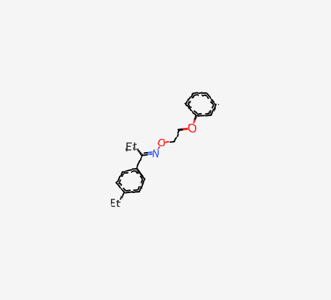 CC/C(=N\OCCOc1c[c]ccc1)c1ccc(CC)cc1